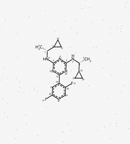 C[C@@H](Nc1nc(N[C@H](C)C2CC2)nc(-c2cc(I)ccc2F)n1)C1CC1